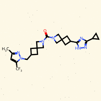 Cc1cc(C(F)(F)F)n(CC2CC3(C2)CN(C(=O)N2CC4(CC(c5nc(C6CC6)n[nH]5)C4)C2)C3)n1